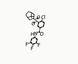 CC1(C)C2CCC1CC(S(=O)(=O)c1cc(C(=O)Nc3cc(F)c(F)c(F)c3)ccc1Cl)C2